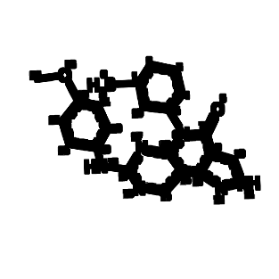 Bc1cccc(-n2c(=O)c3c[nH]nc3c3cnc(Nc4ccc(OC)cc4)nc32)c1